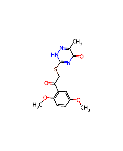 COc1ccc(OC)c(C(=O)CSc2nc(=O)c(C)n[nH]2)c1